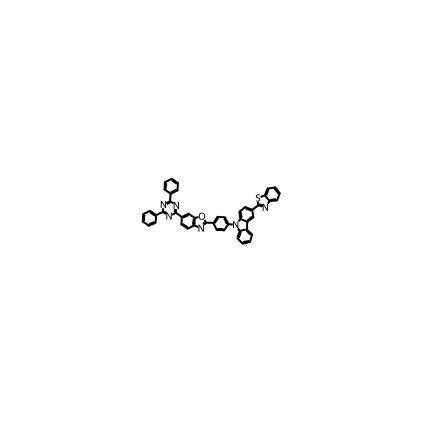 c1ccc(-c2nc(-c3ccccc3)nc(-c3ccc4nc(-c5ccc(-n6c7ccccc7c7cc(-c8nc9ccccc9s8)ccc76)cc5)oc4c3)n2)cc1